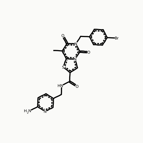 Cc1c(=O)n(Cc2ccc(Br)cc2)c(=O)n2cc(C(=O)NCc3ccc(N)nc3)sc12